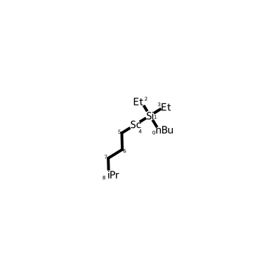 CCCC[Si](CC)(CC)[Sc][CH2]CCC(C)C